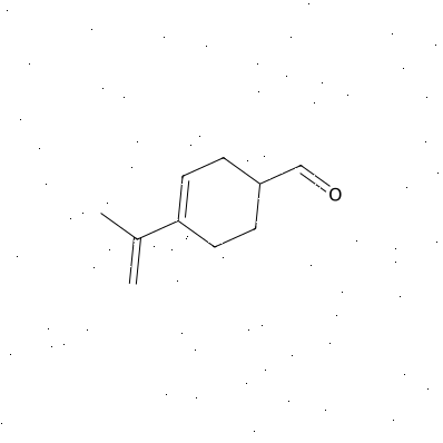 C=C(C)C1=CCC(C=O)CC1